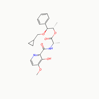 COc1ccnc(C(=O)N[C@@H](C)C(=O)O[C@@H](C)[C@@H](OCC2CC2)c2ccccc2)c1O